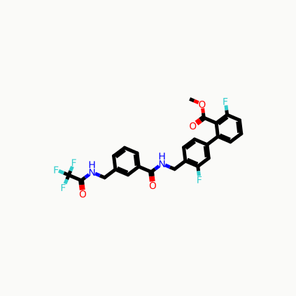 COC(=O)c1c(F)cccc1-c1ccc(CNC(=O)c2cccc(CNC(=O)C(F)(F)F)c2)c(F)c1